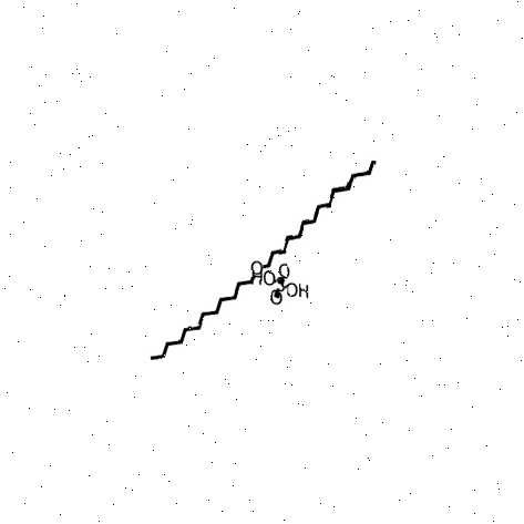 CCCCCCCCCCCCCCOCCCCCCCCCCCC.O=S(=O)(O)O